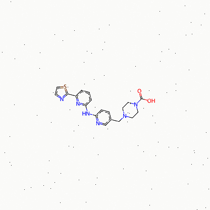 O=C(O)N1CCN(Cc2ccc(Nc3cccc(-c4nccs4)n3)nc2)CC1